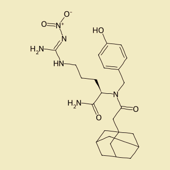 NC(=O)[C@@H](CCCNC(N)=N[N+](=O)[O-])N(Cc1ccc(O)cc1)C(=O)CC12CC3CC(CC(C3)C1)C2